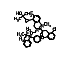 C[C@H]1c2ccc(F)c(C3CC3C(C)(C)O)c2C[C@H](CO[Si](c2ccccc2)(c2ccccc2)C(C)(C)C)N1C(=O)Cc1c(Cl)cccc1Cl